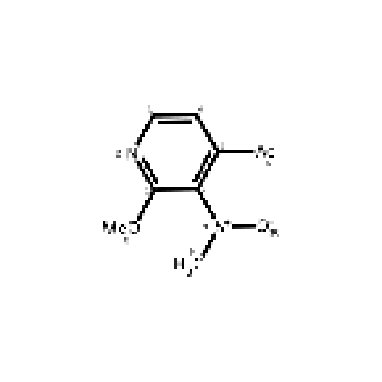 COc1nccc(C(C)=O)c1[S+](C)[O-]